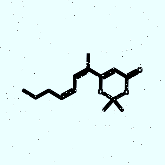 CCC/C=C\C=C(\C)C1=CC(=O)OC(C)(C)O1